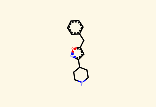 c1ccc(Cc2cc(C3CCNCC3)no2)cc1